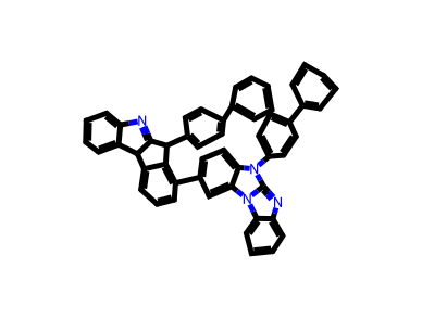 c1ccc(-c2ccc(C3C4=Nc5ccccc5C4c4cccc(-c5ccc6c(c5)n5c7ccccc7nc5n6-c5ccc(-c6ccccc6)cc5)c43)cc2)cc1